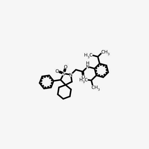 CC(C)c1cccc(C(C)C)c1NC(=O)CN1CC2(CCCCC2)C(c2ccccc2)S1(=O)=O